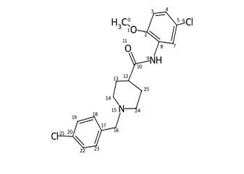 COc1ccc(Cl)cc1NC(=O)C1CCN(Cc2ccc(Cl)cc2)CC1